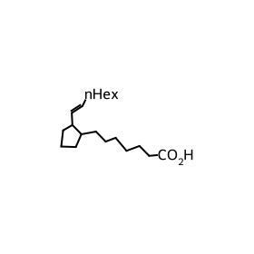 CCCCCCC=CC1CCCC1CCCCCCC(=O)O